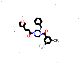 O=C(/C=C/c1ccoc1)N1CCN(C(=O)c2cc(C(F)(F)F)cc(C(F)(F)F)c2)[C@H](Cc2ccccc2)C1